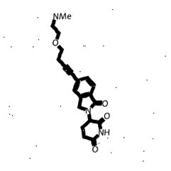 CNCCOCCC#Cc1ccc2c(c1)CN(C1CCC(=O)NC1=O)C2=O